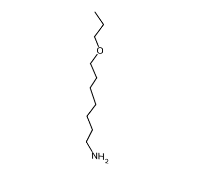 CCCOCCCCCCCN